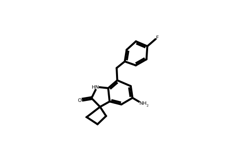 Nc1cc(Cc2ccc(F)cc2)c2c(c1)C1(CCC1)C(=O)N2